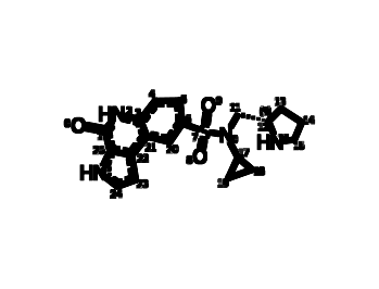 O=c1[nH]c2ccc(S(=O)(=O)N(C[C@@H]3CCCN3)C3CC3)cc2c2cc[nH]c12